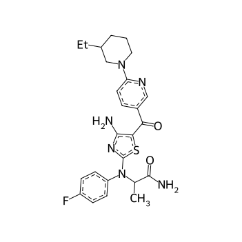 CCC1CCCN(c2ccc(C(=O)c3sc(N(c4ccc(F)cc4)C(C)C(N)=O)nc3N)cn2)C1